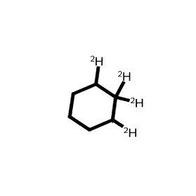 [2H][C]1CCCC([2H])C1([2H])[2H]